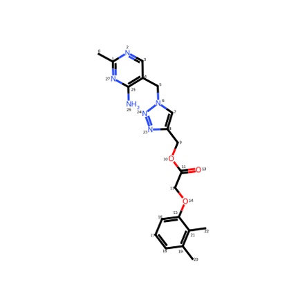 Cc1ncc(Cn2cc(COC(=O)COc3cccc(C)c3C)nn2)c(N)n1